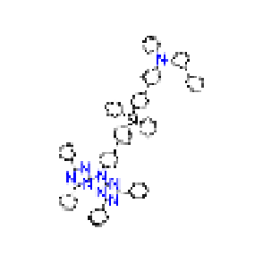 c1ccc(-c2cccc(N(c3ccccc3)c3ccc(-c4ccc([Si](c5ccccc5)(c5ccccc5)c5ccc(-c6ccc(N(c7nc(-c8ccccc8)nc(-c8ccccc8)n7)c7nc(-c8ccccc8)nc(-c8ccccc8)n7)cc6)cc5)cc4)cc3)c2)cc1